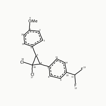 COc1ccc(C2C(c3ccc(C(F)F)cc3)C2(Cl)Cl)cc1